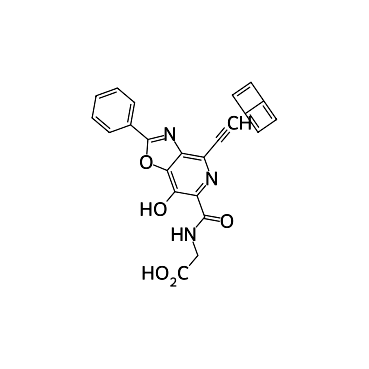 C#Cc1nc(C(=O)NCC(=O)O)c(O)c2oc(-c3ccccc3)nc12.c1cc2ccc1-2